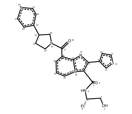 CC[C@@H](CO)NC(=O)c1c(-c2ccsc2)nc2c(C(=O)N3CCC(c4ccncc4)C3)cccn12